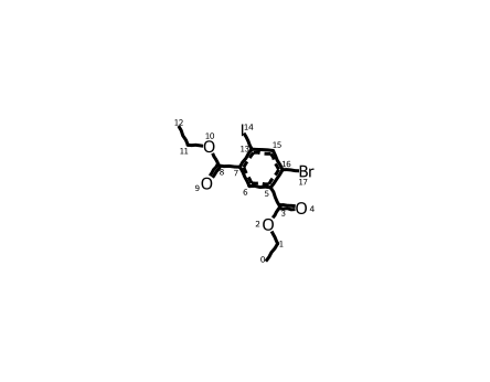 CCOC(=O)c1cc(C(=O)OCC)c(I)cc1Br